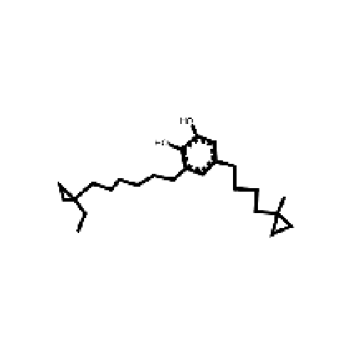 CCC1(CCCCCCc2cc(CCCCC3(C)CC3)cc(O)c2O)CC1